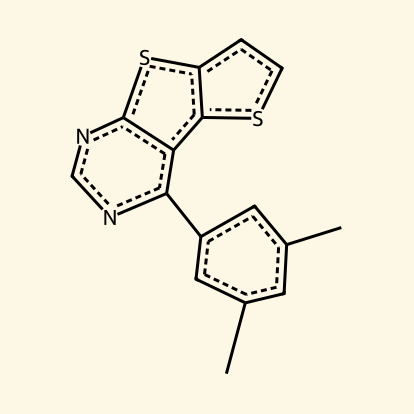 Cc1cc(C)cc(-c2ncnc3sc4ccsc4c23)c1